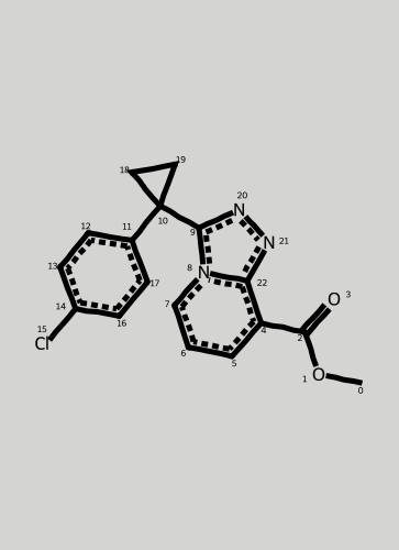 COC(=O)c1cccn2c(C3(c4ccc(Cl)cc4)CC3)nnc12